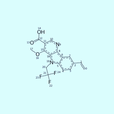 C=Cc1ccc2c(c1)c1ncc(C(=O)O)c(OC)c1n2CC(F)(F)F